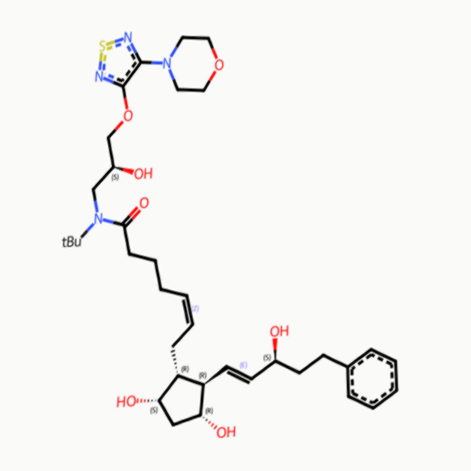 CC(C)(C)N(C[C@H](O)COc1nsnc1N1CCOCC1)C(=O)CCC/C=C\C[C@@H]1[C@@H](/C=C/[C@@H](O)CCc2ccccc2)[C@H](O)C[C@@H]1O